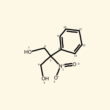 O=[N+]([O-])C(CO)(CO)c1ccccc1